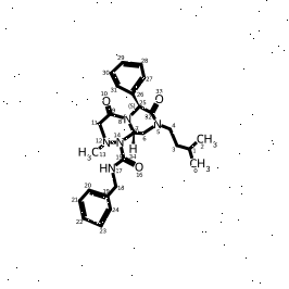 CC(C)CCN1C[C@H]2N(C(=O)CN(C)N2C(=O)NCc2ccccc2)[C@@H](c2ccccc2)C1=O